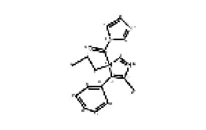 CCC[N+]1(C(=O)n2ccnc2)C=NC(C)=C1c1ccccc1